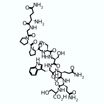 CC(C)C[C@H](NC(=O)[C@@H]1CCCN1C(=O)[C@@H]1CCCN1C(=O)CNC(=O)[C@@H](N)CCC(N)=O)C(=O)N[C@@H](CO)C(=O)N[C@@H](Cc1c[nH]c2ccccc12)C(=O)N[C@@H](CCC(N)=O)C(=O)N[C@@H](CCC(N)=O)C(=O)N[C@@H](CO)C(=O)O